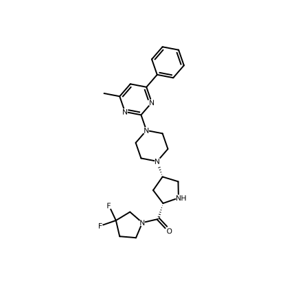 Cc1cc(-c2ccccc2)nc(N2CCN([C@@H]3CN[C@H](C(=O)N4CCC(F)(F)C4)C3)CC2)n1